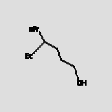 CCCC(CC)CCCO